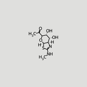 CNC1=N[C@@H]2[C@@H](O)[C@@H](O)C(C(C)=O)O[C@@H]2S1